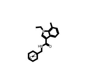 CCn1cc(C(=O)NCC23CCC(CC2)CC3)c2cccc(C)c21